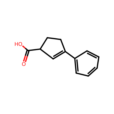 O=C(O)C1C=C(c2ccccc2)CC1